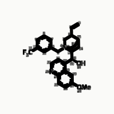 C=CC1C[N+]2(Cc3cccc(C(F)(F)F)c3)CCC1CC2[C@@H](O)c1ccnc2ccc(OC)cc12